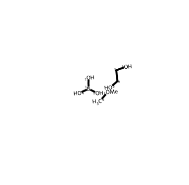 COC.OB(O)O.OCCO